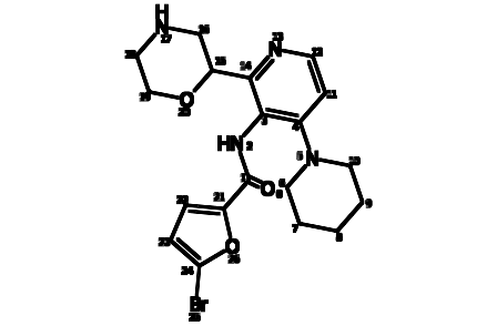 O=C(Nc1c(N2CCCCC2)ccnc1C1CNCCO1)c1ccc(Br)o1